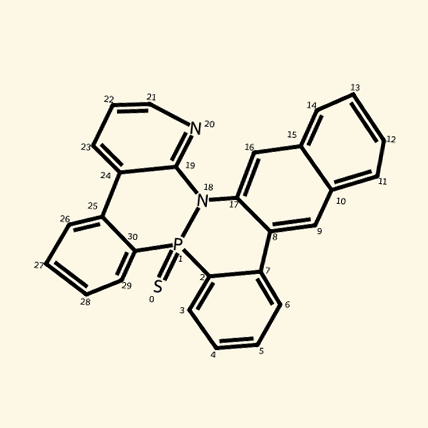 S=P12c3ccccc3-c3cc4ccccc4cc3N1c1ncccc1-c1ccccc12